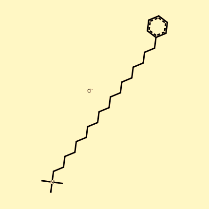 C[N+](C)(C)CCCCCCCCCCCCCCCCCCc1ccccc1.[Cl-]